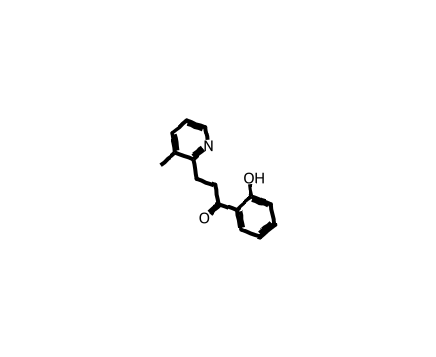 Cc1cccnc1CCC(=O)c1ccccc1O